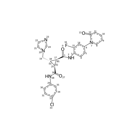 O=C(Nc1ccc(-n2ccccc2=O)cc1F)[C@@H]1[C@@H](Cn2ccnc2)[C@@H]1C(=O)Nc1ccc(Cl)cc1